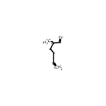 C=CCCC(C)C=O